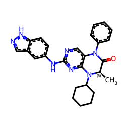 C[C@@H]1C(=O)N(c2ccccc2)c2cnc(Nc3ccc4[nH]ncc4c3)nc2N1C1CCCCC1